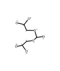 CCC(OCC(Cl)Cl)OCC(Cl)Cl